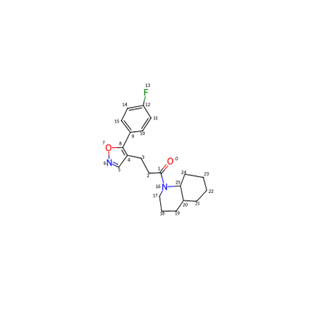 O=C(CCc1cnoc1-c1ccc(F)cc1)N1CCCC2CCCCC21